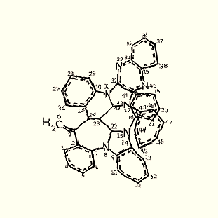 C=C1c2ccccc2N2c3ccccc3N(c3ccccc3)C2C2C1c1ccccc1N1c3nc4ccccc4nc3N(c3ccccc3)C21